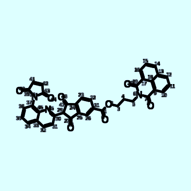 O=C(OCCCN1C(=O)c2cccc3cccc(c23)C1=O)c1ccc2c(c1)C(=O)C(c1ccc3cccc(N4C(=O)C=CC4=O)c3n1)C2=O